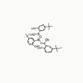 CC(C)(C)c1ccc(O)c(B(O)OB(OB(O)c2cc(C(C)(C)C)ccc2O)c2cc(C(C)(C)C)ccc2O)c1